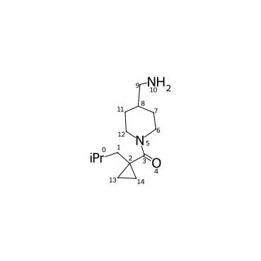 CC(C)CC1(C(=O)N2CCC(CN)CC2)CC1